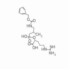 CC(CNC(=O)OCc1ccccc1)CP(=O)(O)OC(CCCNC(=N)N)C(=O)O